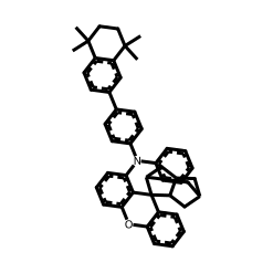 CC1(C)CCC(C)(C)c2cc(-c3ccc(N(c4ccccc4)c4cccc5c4C4(c6ccccc6O5)C5CC6CC(C5)C4C6)cc3)ccc21